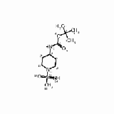 CC(C)(C)OC(=O)NC1CCN(S(C)(=N)=O)CC1